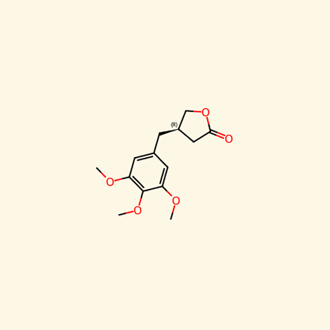 COc1cc(C[C@H]2COC(=O)C2)cc(OC)c1OC